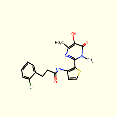 Cn1c(-c2sccc2NC(=O)CCc2ccccc2Cl)nc(C(=O)O)c(O)c1=O